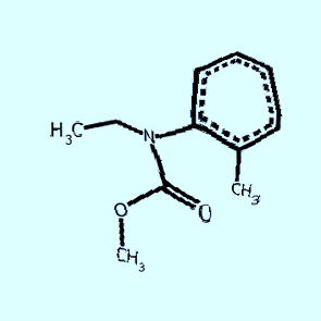 CCN(C(=O)OC)c1ccccc1C